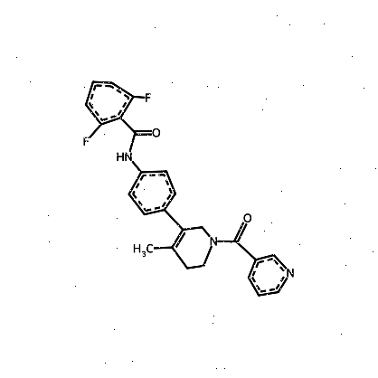 CC1=C(c2ccc(NC(=O)c3c(F)cccc3F)cc2)CN(C(=O)c2cccnc2)CC1